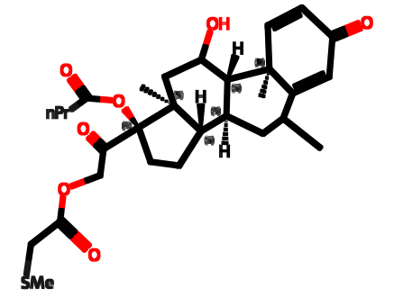 CCCC(=O)O[C@]1(C(=O)COC(=O)CSC)CC[C@H]2[C@@H]3CC(C)C4=CC(=O)C=C[C@]4(C)[C@H]3C(O)C[C@@]21C